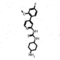 COc1cc(F)ccc1-c1ccnc(NC(=S)NC2CCC(N)CC2)c1